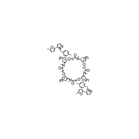 Cc1ccc(-c2ccnn2Cc2ccc(C[C@H]3OC(=O)[C@H](CC(C)C)N(C)C(=O)[C@@H](C)OC(=O)[C@H](CC(C)C)N(C)C(=O)[C@@H](Cc4ccc(Cn5nccc5-c5ccc(C)o5)cc4)OC(=O)[C@H](CC(C)C)N(C)C(=O)[C@@H](C)OC(=O)C(CC(C)C)N(C)C3=O)cc2)o1